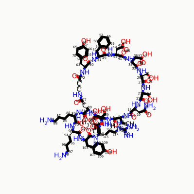 CC(C)C[C@@H]1NC(=O)C(C(C)C)NC(=O)[C@H](CC(N)=O)NC(=O)C(CO)NC(=O)[C@H](CO)NC(=O)C(CC(=O)O)NC(=O)[C@H](CC(=O)O)NC(=O)C(Cc2ccccc2)NC(=O)[C@H](Cc2ccc(O)cc2)NC(=O)CCNC(=O)CC(C(=O)NC(CCCCN)C(=O)N[C@@H](CCCCN)C(=O)NC(Cc2ccc(O)cc2)C(=O)N[C@@H](CCCNC(=N)N)C(=O)NC(CO)C(=O)O)NC1=O